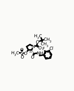 CC(C)(C)OC(=O)N1CCC(OS(C)(=O)=O)[C@H]1C(=O)NCc1cccc(Cl)c1F